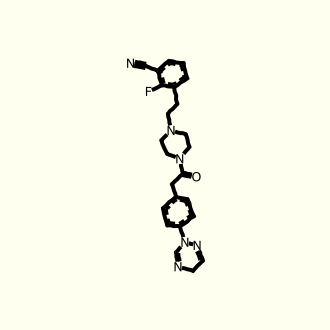 N#Cc1cccc(CCN2CCN(C(=O)Cc3ccc(N4C=NCC=N4)cc3)CC2)c1F